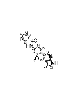 COc1cc(NC(=O)c2cncnc2)ccc1-c1cnc2[nH]ccc2c1